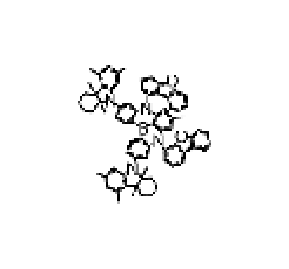 Cc1cc2c3c(c1)N(c1cccc4oc5ccccc5c14)c1cc(N4c5cc(C)cc(C)c5C5(C)CCCCC45C)ccc1B3c1ccc(N3c4cc(C)cc(C)c4C4(C)CCCCC34C)cc1N2c1cccc2c1oc1ccccc12